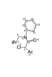 CC(=O)C(Cl)C(=O)N(CC(C)C)c1ccccc1